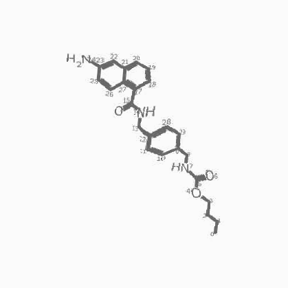 CCCCOC(=O)NCc1ccc(CNC(=O)c2cccc3cc(N)ccc23)cc1